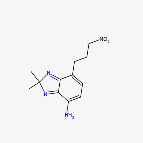 CC1(C)N=c2c(N)ccc(CCC[N+](=O)[O-])c2=N1